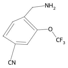 N#Cc1ccc(CN)c(OC(F)(F)F)c1